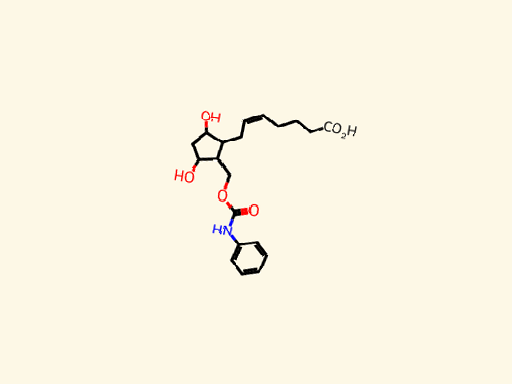 O=C(O)CCC/C=C\CC1C(O)CC(O)C1COC(=O)Nc1ccccc1